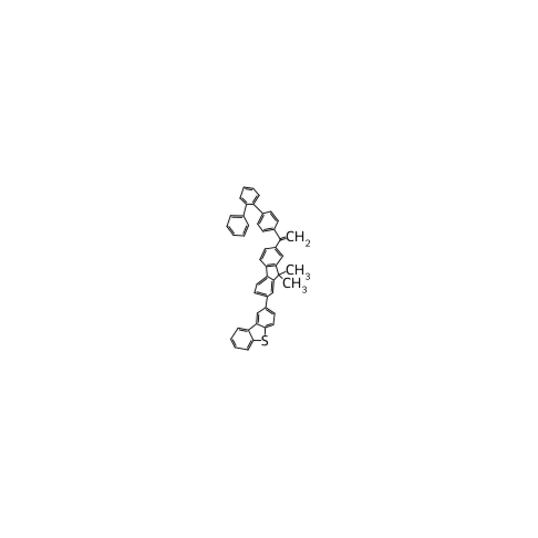 C=C(c1ccc(-c2ccccc2-c2ccccc2)cc1)c1ccc2c(c1)C(C)(C)c1cc(-c3ccc4sc5ccccc5c4c3)ccc1-2